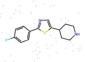 Fc1ccc(-c2ncc(C3CCNCC3)s2)cc1